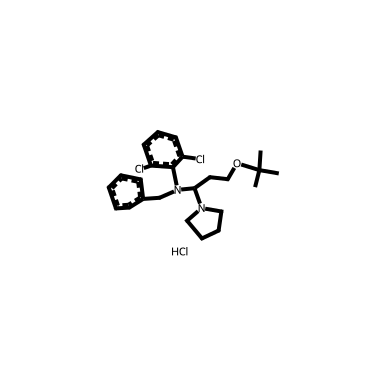 CC(C)(C)OCCC(N1CCCC1)N(Cc1ccccc1)c1c(Cl)cccc1Cl.Cl